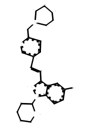 Brc1ccc2c(c1)c(C=Cc1ccc(CN3CCCCC3)nc1)nn2C1CCCCO1